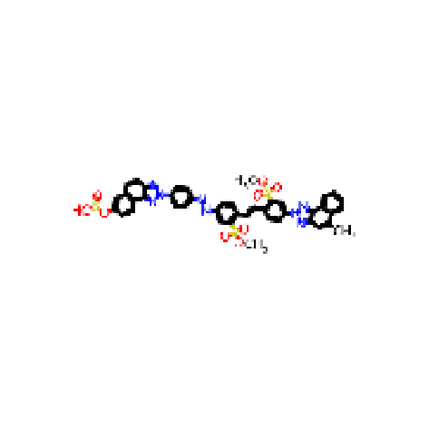 COS(=O)(=O)c1cc(N=Nc2ccc(-n3nc4ccc5cc(OS(=O)O)ccc5c4n3)cc2)ccc1C=Cc1ccc(-n2nc3cc(C)c4ccccc4c3n2)cc1S(=O)(=O)OC